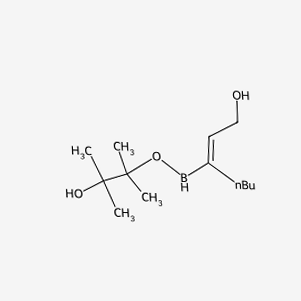 CCCC/C(BOC(C)(C)C(C)(C)O)=C\CO